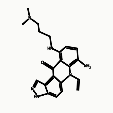 C=Cn1c2ccc3[nH]ncc3c2c(=O)c2c(NCCCN(C)C)ccc(N)c21